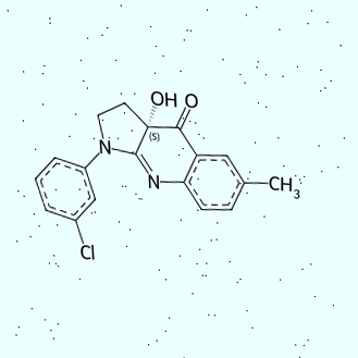 Cc1ccc2c(c1)C(=O)[C@]1(O)CCN(c3cccc(Cl)c3)C1=N2